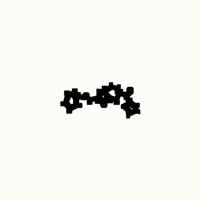 O=C(C1=CCC=N1)N1CCc2nc(COc3ccccc3)oc2C1